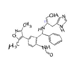 Cc1noc(C)c1-c1ccc(NC=O)c(C(N/C(=C/O)Cc2cnc[nH]2)c2ccccc2)c1